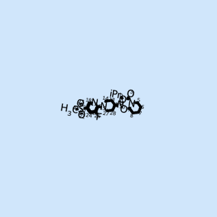 CC(C)OC(=O)N1CCCCC1ON=C1CCN(c2ncc(S(C)(=O)=O)cc2F)CC1